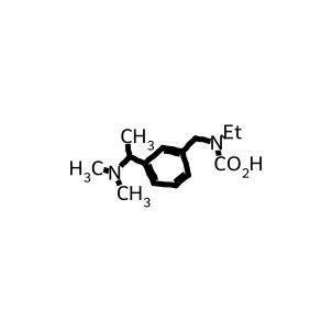 CCN(Cc1cccc(C(C)N(C)C)c1)C(=O)O